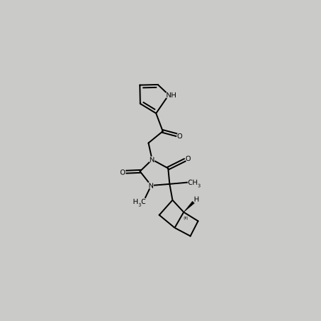 CN1C(=O)N(CC(=O)c2ccc[nH]2)C(=O)C1(C)C1CC2CC[C@H]21